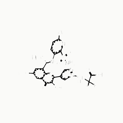 Cc1cc([C@@H](C)Nc2ccc(Cl)nc2S(N)(=O)=O)c2oc(-c3cnn(C)c3)c(C)c(=O)c2c1.O=C(O)C(F)(F)F